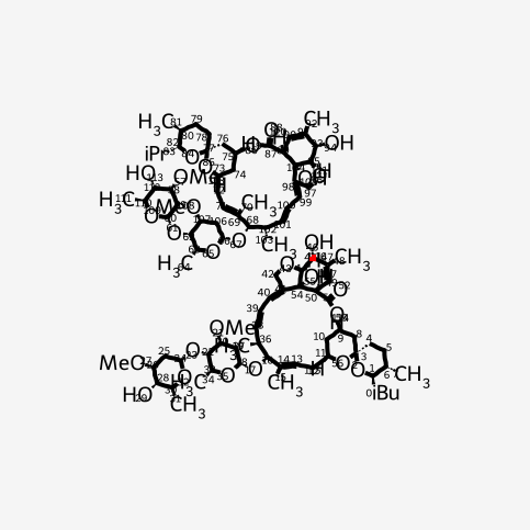 CCC(C)[C@H]1O[C@]2(CC[C@@H]1C)C[C@@H]1C[C@@H](C/C=C(\C)[C@@H](O[C@H]3C[C@H](OC)[C@@H](O[C@H]4C[C@H](OC)[C@@H](O)[C@H](C)O4)[C@H](C)O3)[C@@H](C)C=CC=C3CO[C@@H]4[C@H](O)C(C)=C[C@@H](C(=O)O1)[C@]34O)O2.CO[C@H]1C[C@H](O[C@H]2[C@H](C)O[C@@H](O[C@@H]3/C(C)=C/C[C@@H]4C[C@@H](C[C@]5(CC[C@H](C)[C@@H](C(C)C)O5)O4)OC(=O)[C@@H]4C=C(C)[C@@H](O)[C@H]5OC/C(=C\C=C\[C@@H]3C)[C@]54O)C[C@@H]2OC)O[C@@H](C)[C@@H]1O